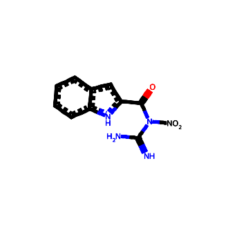 N=C(N)N(C(=O)c1cc2ccccc2[nH]1)[N+](=O)[O-]